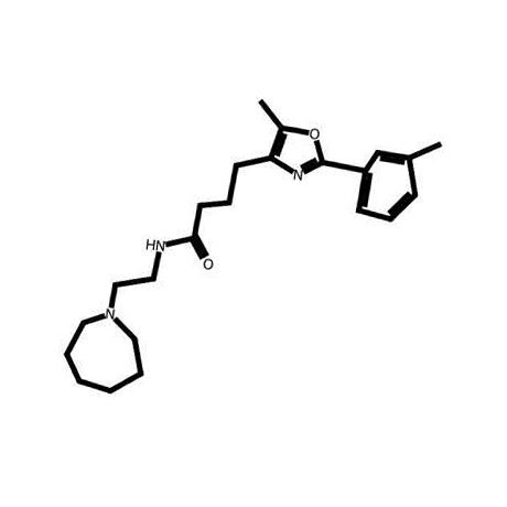 Cc1cccc(-c2nc(CCCC(=O)NCCN3CCCCCC3)c(C)o2)c1